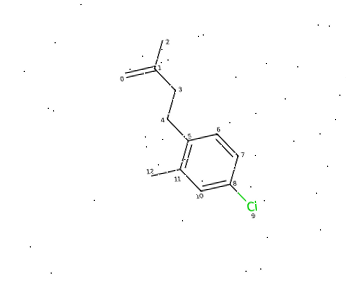 C=C(C)CCc1ccc(Cl)cc1C